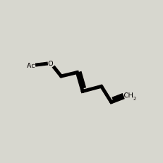 C=CCC=CCOC(C)=O